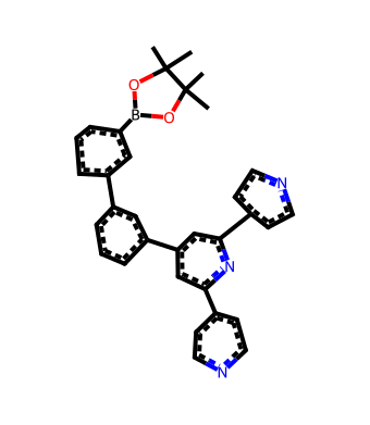 CC1(C)OB(c2cccc(-c3cccc(-c4cc(-c5ccncc5)nc(-c5ccncc5)c4)c3)c2)OC1(C)C